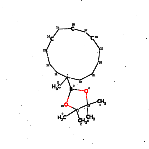 CC1(B2OC(C)(C)C(C)(C)O2)CCCCCCCCCCCC1